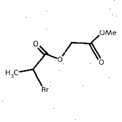 COC(=O)COC(=O)C(C)Br